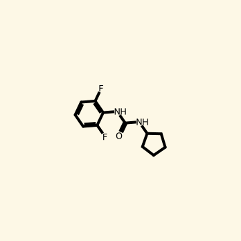 O=C(Nc1c(F)cccc1F)NC1CCCC1